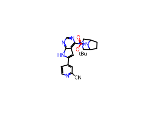 CC(C)(C)OC(=O)N1C2CCC1CN(c1ncnc3[nH]c(-c4ccnc(C#N)c4)cc13)C2